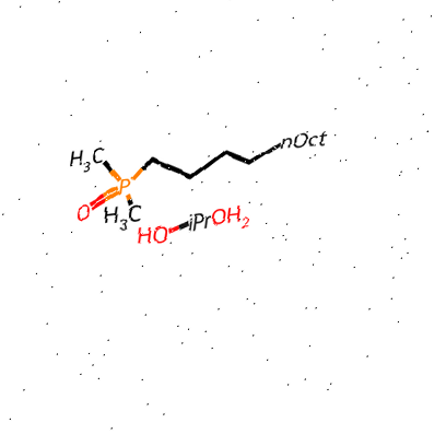 CC(C)O.CCCCCCCCCCCCP(C)(C)=O.O